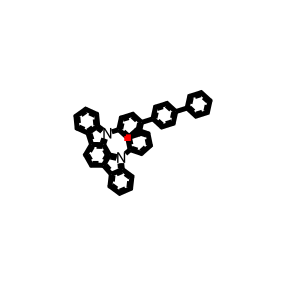 c1ccc(-c2ccc(-c3ccc(-n4c5ccccc5c5ccc6c7ccccc7n(-c7ccccc7)c6c54)cc3)cc2)cc1